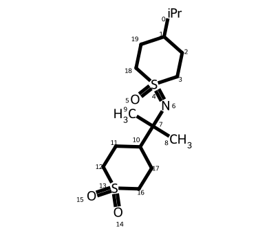 CC(C)C1CCS(=O)(=NC(C)(C)C2CCS(=O)(=O)CC2)CC1